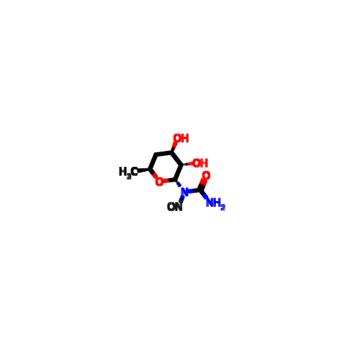 C[C@H]1C[C@@H](O)[C@H](O)[C@H](N(N=O)C(N)=O)O1